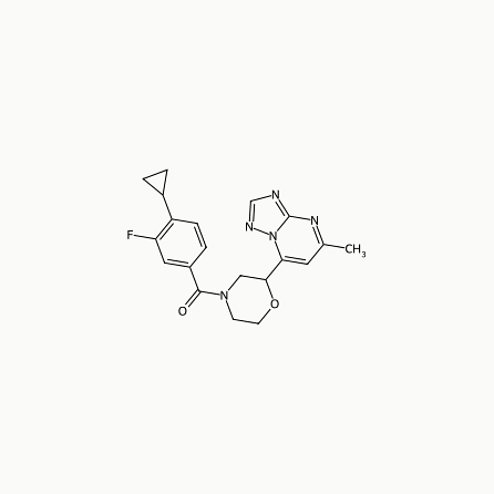 Cc1cc(C2CN(C(=O)c3ccc(C4CC4)c(F)c3)CCO2)n2ncnc2n1